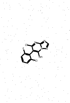 CCCc1c(-c2c(F)cccc2Cl)c(Cl)nc2ncnn12